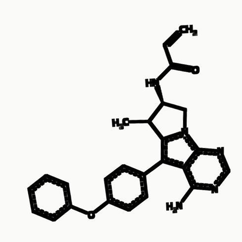 C=CC(=O)N[C@H]1Cn2c(c(-c3ccc(Oc4ccccc4)cc3)c3c(N)ncnc32)C1C